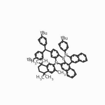 Cc1cc2c(cc1N1c3cc(C(c4ccc(C(C)(C)C)cc4)c4ccc(C(C)(C)C)cc4)ccc3B3c4c1cc1ccccc1c4-c1cc4ccccc4cc1N3c1ccc(C(C)(C)C)cc1)C(C)(C)CCC2(C)C